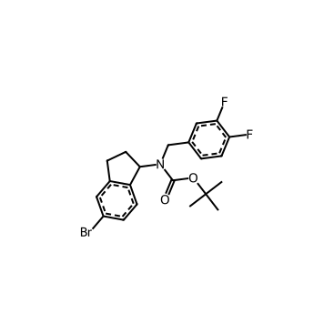 CC(C)(C)OC(=O)N(Cc1ccc(F)c(F)c1)C1CCc2cc(Br)ccc21